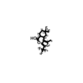 Cc1sc(C(F)(F)F)cc1C1CC(F)(F)CCC1C(=O)O